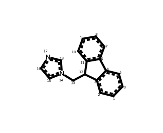 c1ccc2c(c1)-c1ccccc1C2Cn1ccnc1